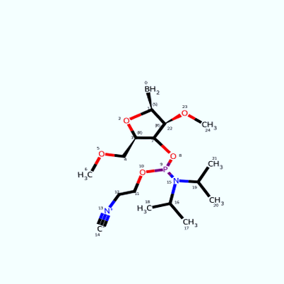 B[C@@H]1O[C@H](COC)C(OP(OCC[N+]#[C-])N(C(C)C)C(C)C)[C@@H]1OC